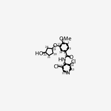 COc1ccc(C(=O)Nc2c(Cl)cncc2Cl)cc1OC1CCC(O)C1